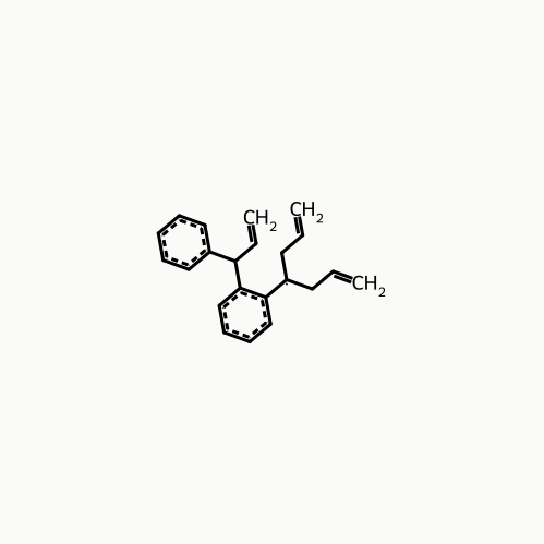 C=CC[C](CC=C)c1ccccc1C(C=C)c1ccccc1